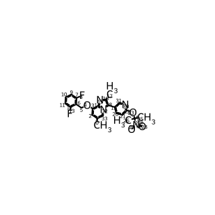 Cc1cc(OCc2c(F)cccc2F)c2nc(C)c(-c3ccc(OC(C)(C)[N+](=O)[O-])nc3)n2c1